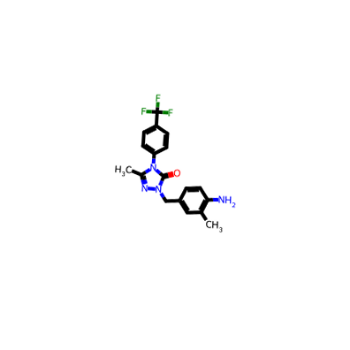 Cc1cc(Cn2nc(C)n(-c3ccc(C(F)(F)F)cc3)c2=O)ccc1N